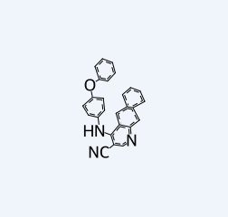 N#Cc1cnc2cc3ccccc3cc2c1Nc1ccc(Oc2ccccc2)cc1